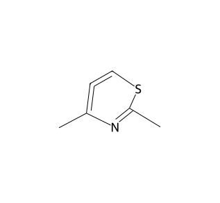 CC1=C=CSC(C)=N1